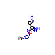 CC(C)CN1CCN(Cc2nnc(-c3cc(-c4cccc5[nH]ccc45)cc4[nH]ncc34)o2)CC1